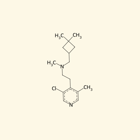 Cc1cncc(Cl)c1CCN(C)CC1CC(C)(C)C1